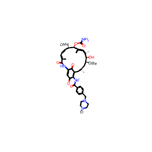 CCN1CCN(Cc2ccc(C(=O)NC3=C4C[C@@H](C)C[C@H](OC)[C@H](O)[C@@H](C)/C=C(\C)[C@H](OC(N)=O)[C@@H](OC)/C=C\C=C(/C)C(=O)NC(=CC3=O)C4=O)cc2)CC1